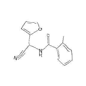 Cc1ccccc1C(=O)NC(C#N)c1ccco1